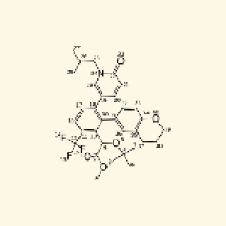 COC(=O)C(OC(C)(C)C)c1c(C(F)(F)F)ccc(-c2ccc(=O)n(CC(C)C)c2)c1-c1ccc2c(c1)CCCO2